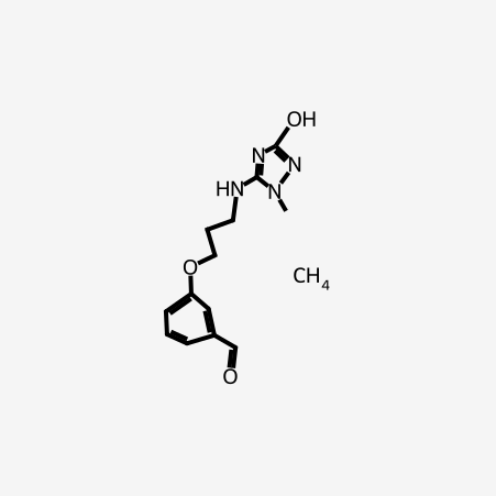 C.Cn1nc(O)nc1NCCCOc1cccc(C=O)c1